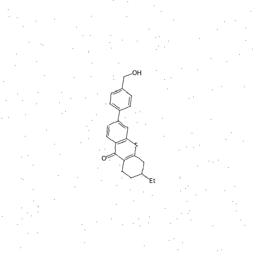 CCC1CCc2c(sc3cc(-c4ccc(CO)cc4)ccc3c2=O)C1